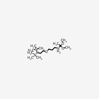 COC(C)(OC)[SiH2]CCCOCCN([Si](C)(C)C)[Si](C)(C)C